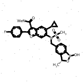 CNC(=O)c1c(-c2ccc(F)cc2)oc2cc(N(Cc3ccc4c(c3)[C@@H](C)OB4O)S(C)(=O)=O)c(C3CC3)cc12